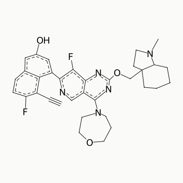 C#Cc1c(F)ccc2cc(O)cc(-c3ncc4c(N5CCCOCC5)nc(OCC56CCCCC5N(C)CC6)nc4c3F)c12